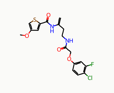 C=C(CCNC(=O)COc1ccc(Cl)c(F)c1)NC(=O)c1cc(OC)cs1